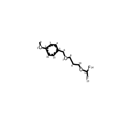 COc1ccc(COCCCOC(F)F)cc1